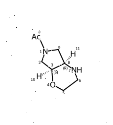 CC(=O)N1C[C@@H]2OCCN[C@@H]2C1